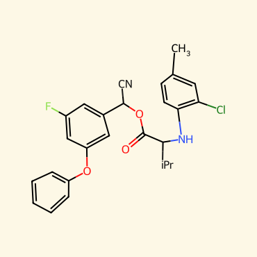 Cc1ccc(NC(C(=O)OC(C#N)c2cc(F)cc(Oc3ccccc3)c2)C(C)C)c(Cl)c1